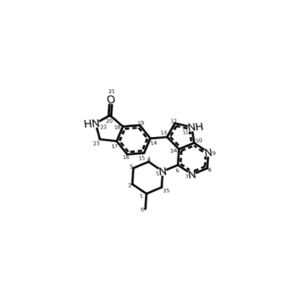 CC1CCCN(c2ncnc3[nH]cc(-c4ccc5c(c4)C(=O)NC5)c23)C1